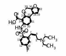 CCN(CC)C/C=C\c1cc(F)ccc1S(=O)(=O)Nc1ccc2c(c1C(=O)O)OCc1occc1-2